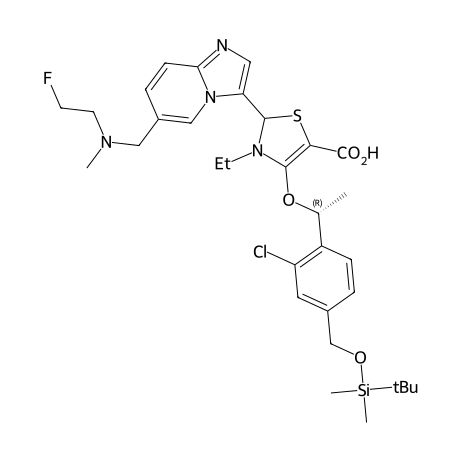 CCN1C(O[C@H](C)c2ccc(CO[Si](C)(C)C(C)(C)C)cc2Cl)=C(C(=O)O)SC1c1cnc2ccc(CN(C)CCF)cn12